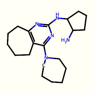 NC1CCCC1Nc1nc2c(c(N3CCCCCC3)n1)CCCCC2